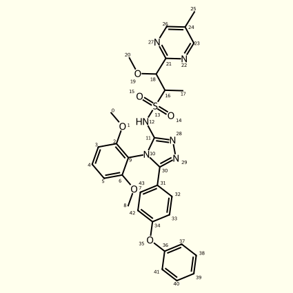 COc1cccc(OC)c1-n1c(NS(=O)(=O)C(C)C(OC)c2ncc(C)cn2)nnc1-c1ccc(Oc2ccccc2)cc1